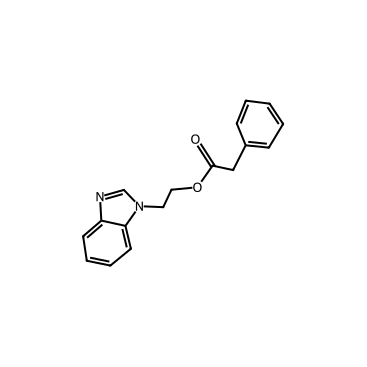 O=C(Cc1ccccc1)OCCn1cnc2ccccc21